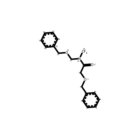 O=C(COCc1ccccc1)N(COCc1ccccc1)C(F)(F)F